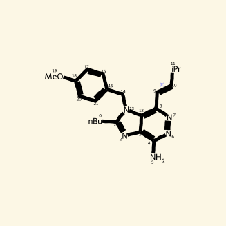 CCCCc1nc2c(N)nnc(/C=C/C(C)C)c2n1Cc1ccc(OC)cc1